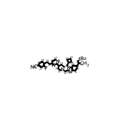 C=C(CC(C)(C)C)c1ccc2nc(CN3CCC(c4nccc(CCc5ccc(C#N)cc5F)n4)CC3)n(CC3CCC3)c2c1